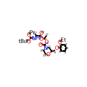 CCOc1ccccc1OC[C@@H]1CN(C(=O)OC(C)OC(=O)C(NC(=O)OC(C)(C)C)C(C)C)CCO1